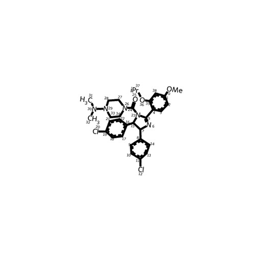 COc1ccc(C2=NC(c3ccc(Cl)cc3)C(c3ccc(Cl)cc3)N2C(=O)N2CCN(N(C)C)CC2)c(OC(C)C)c1